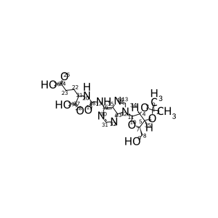 CC1(C)O[C@@H]2[C@H](O1)[C@@H](CO)O[C@H]2n1cnc2c(NC(=O)NC(CCC(=O)O)C(=O)O)ncnc21